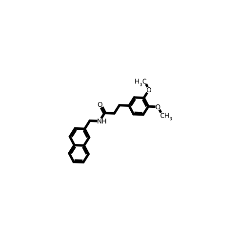 COc1ccc(CCC(=O)NCc2ccc3ccccc3c2)cc1OC